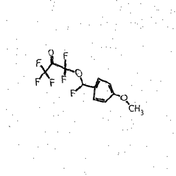 COc1ccc(C(F)OC(F)(F)C(=O)C(F)(F)F)cc1